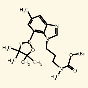 Cc1cc(B2OC(C)(C)C(C)(C)O2)c2c(c1)ncn2CCCN(C)C(=O)OC(C)(C)C